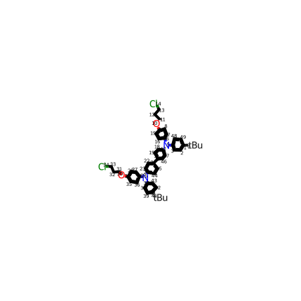 CC(C)(C)c1ccc(N(c2ccc(OCCCCl)cc2)c2ccc(-c3ccc(N(c4ccc(OCCCCl)cc4)c4ccc(C(C)(C)C)cc4)cc3)cc2)cc1